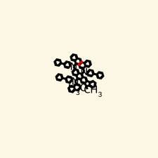 CC1(C)c2ccccc2-c2cc3c(N(c4ccc(-c5ccccc5)cc4)c4cccc5ccccc45)c4cc(N(c5ccc(-c6ccccc6)cc5)c5cccc6ccccc56)ccc4c(N(c4ccc(-c5ccccc5)cc4)c4cccc5ccccc45)c3cc21